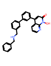 O=c1cc(-c2cccc(-c3cccc(CNCc4ccccc4)c3)c2)c2cccnc2n1O